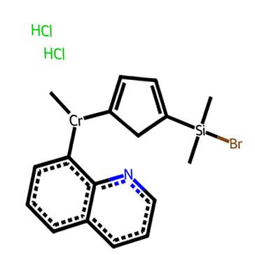 Cl.Cl.[CH3][Cr]([C]1=CC=C([Si](C)(C)Br)C1)[c]1cccc2cccnc12